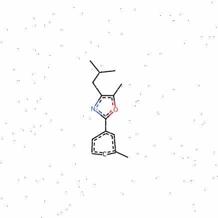 Cc1cccc(-c2nc(CC(C)C)c(C)o2)c1